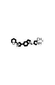 C[C@H]1C[C@@H](Cn2ccc3cc(-c4cnn(C5CCCCO5)c4)ccc32)CN1